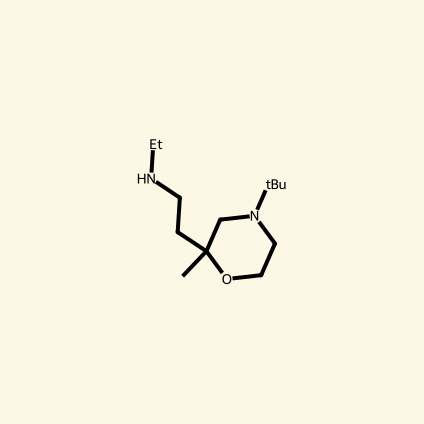 CCNCCC1(C)CN(C(C)(C)C)CCO1